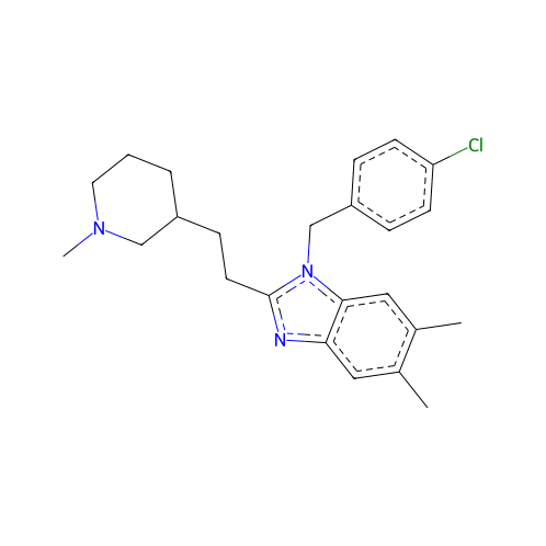 Cc1cc2nc(CCC3CCCN(C)C3)n(Cc3ccc(Cl)cc3)c2cc1C